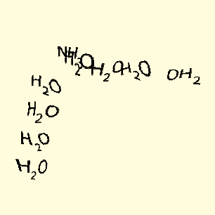 N.O.O.O.O.O.O.O.O